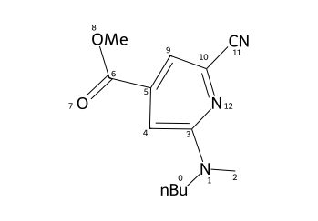 CCCCN(C)c1cc(C(=O)OC)cc(C#N)n1